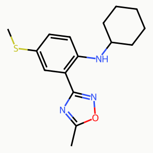 CSc1ccc(NC2CCCCC2)c(-c2noc(C)n2)c1